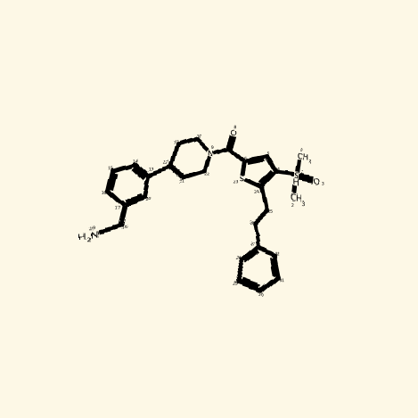 C[SH](C)(=O)c1cc(C(=O)N2CCC(c3cccc(CN)c3)CC2)sc1CCc1ccccc1